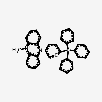 C[n+]1c2ccccc2nc2ccccc21.c1ccc([B-](c2ccccc2)(c2ccccc2)c2ccccc2)cc1